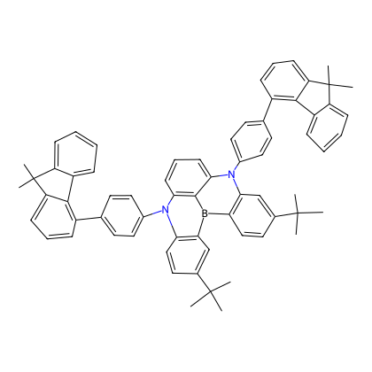 CC(C)(C)c1ccc2c(c1)B1c3ccc(C(C)(C)C)cc3N(c3ccc(-c4cccc5c4-c4ccccc4C5(C)C)cc3)c3cccc(c31)N2c1ccc(-c2cccc3c2-c2ccccc2C3(C)C)cc1